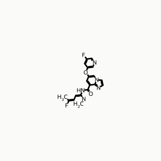 C=N/C(=C\C=C(/C)F)NC(=O)c1cc(Oc2cncc(F)c2)cn2ccnc12